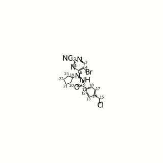 N#Cc1ncc(Br)c(N(NC(=O)c2ccc(CCl)cc2)C2CCCC2)n1